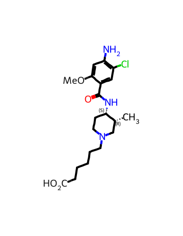 COc1cc(N)c(Cl)cc1C(=O)N[C@H]1CCN(CCCCCC(=O)O)C[C@H]1C